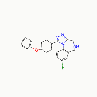 Fc1ccc2c(c1)CNCc1nnc(C3CCC(Oc4ccccc4)CC3)n1-2